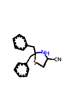 N#CC1CSC(Cc2ccccc2)(Cc2ccccc2)N1